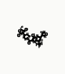 C[C@H]1OC(=O)N(C2CCN(C(=O)c3nc4c(C(F)(F)F)cc(-c5ccoc5)cn4c3Cl)CC2)C1=O